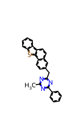 Cc1nc(Cc2ccc3c(ccc4c5ccccc5sc34)c2)nc(-c2ccccc2)n1